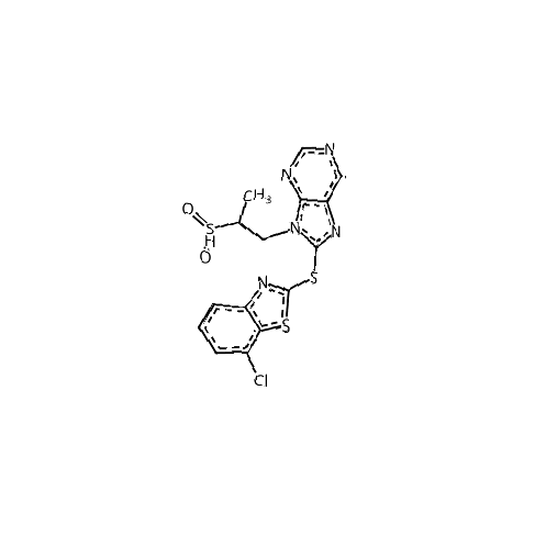 CC(Cn1c(Sc2nc3cccc(Cl)c3s2)nc2[c]ncnc21)[SH](=O)=O